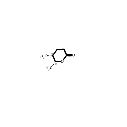 C[C@@H]1CCC(=O)O[C@@H]1C